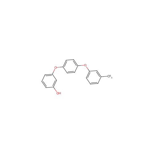 Oc1cccc(Oc2ccc(Oc3cccc(C(F)(F)F)c3)cc2)c1